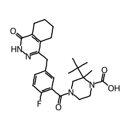 CC(C)(C)C1(C)CN(C(=O)c2cc(Cc3n[nH]c(=O)c4c3CCCC4)ccc2F)CCN1C(=O)O